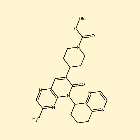 Cc1cnc2cc(C3CCN(C(=O)OC(C)(C)C)CC3)c(=O)n(C3CCCc4nccnc43)c2n1